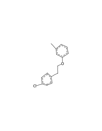 Cc1cccc(OCCc2ccc(Cl)cc2)c1